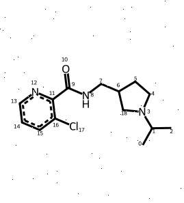 CC(C)N1CCC(CNC(=O)c2ncccc2Cl)C1